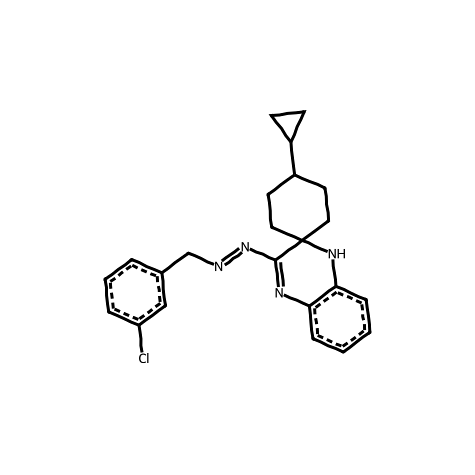 Clc1cccc(CN=NC2=Nc3ccccc3NC23CCC(C2CC2)CC3)c1